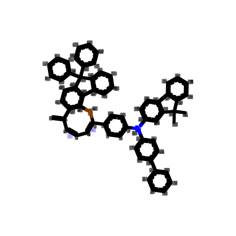 C=C1/C=C\C=C(\c2ccc(N(c3ccc(-c4ccccc4)cc3)c3ccc4c(c3)C(C)(C)c3ccccc3-4)cc2)Sc2c1ccc1c2-c2ccccc2C1(c1ccccc1)c1ccccc1